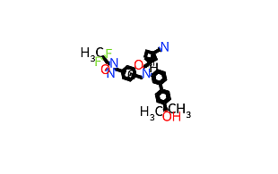 CC(C)(O)c1ccc(-c2cccc(N(CC34CCC(c5noc(C(C)(F)F)n5)(CC3)CC4)C(=O)[C@H]3CC4(C#N)CC3C4)c2)cc1